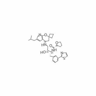 CC(C)Cc1cnc2c(c1)[C@@H](NC[C@@H](O)[C@@H](Cc1cccc(-c3nccs3)c1)NC(=O)[C@H]1CCCO1)CC1(CCC1)O2